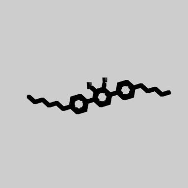 CCCCCCc1ccc(-c2ccc(-c3ccc(CCCCC)cc3)c(F)c2F)cc1